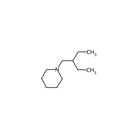 CCC(CC)CN1CC[CH]CC1